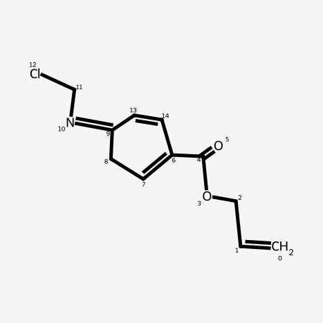 C=CCOC(=O)C1=CCC(=NCCl)C=C1